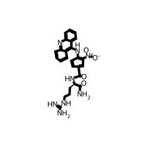 N=C(N)NCCC[C@@H](NC(=O)c1ccc(Nc2c3ccccc3nc3ccccc23)c([N+](=O)[O-])c1)C(N)=O